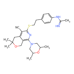 CC(=N)Nc1ccc(CCSc2nc(N3CC(C)OC(C)C3)c3c(c2C#N)CC(C)(C)OC3)cc1